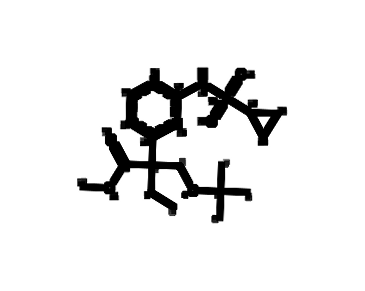 CCC(COC(C)(C)C)(C(=O)OC)c1ccnc(NS(=O)(=O)C2CC2)n1